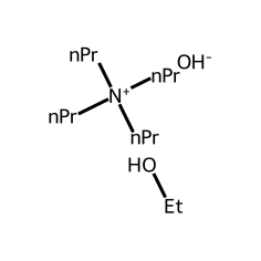 CCC[N+](CCC)(CCC)CCC.CCO.[OH-]